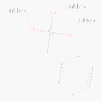 CCCCCCO[Si](Cc1ccccc1)(OCCCCCC)OCCCCCC